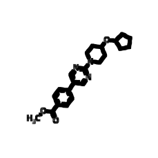 COC(=O)c1ccc(-c2cnc(N3CCC(OC4CCCC4)CC3)nc2)cc1